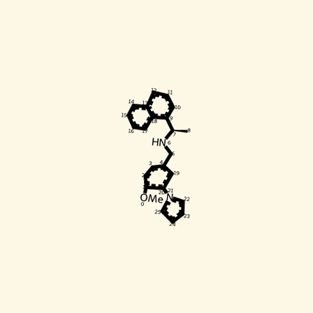 COc1ccc(CN[C@H](C)c2cccc3ccccc23)cc1-n1cccc1